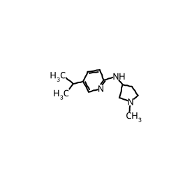 CC(C)c1ccc(NC2CCN(C)C2)nc1